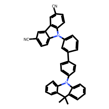 CC1(C)c2ccccc2N(c2ccc(-c3cccc(-n4c5ccc(C#N)cc5c5cc(C#N)ccc54)c3)cc2)c2ccccc21